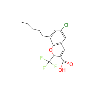 CCCCCc1cc(Cl)cc2c1OC(C(F)(F)F)C(C(=O)O)=C2